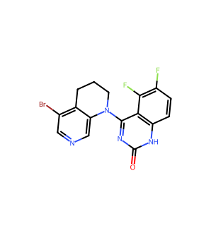 O=c1nc(N2CCCc3c(Br)cncc32)c2c(F)c(F)ccc2[nH]1